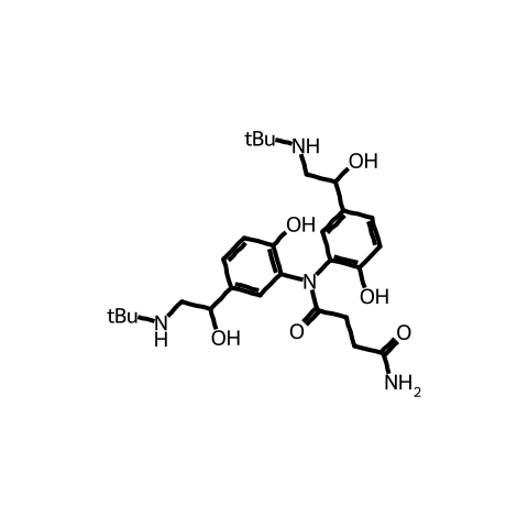 CC(C)(C)NCC(O)c1ccc(O)c(N(C(=O)CCC(N)=O)c2cc(C(O)CNC(C)(C)C)ccc2O)c1